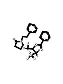 O=C(OC(C(F)(F)F)C(F)(F)S(=O)(=O)[O-])c1ccccc1.O=C1CCC[S+]1CCc1ccccc1